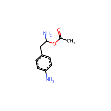 CC(=O)OC(N)Cc1ccc(N)cc1